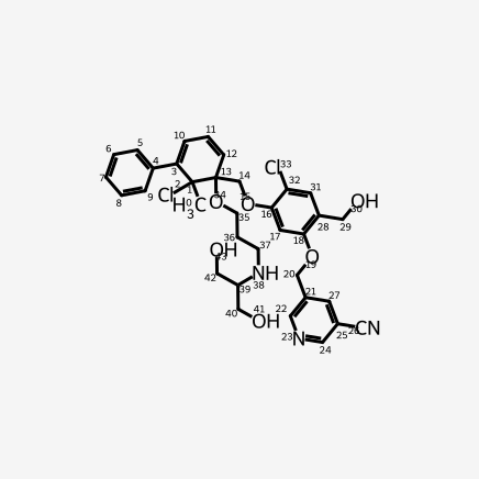 CC1(Cl)C(c2ccccc2)=CC=CC1(COc1cc(OCc2cncc(C#N)c2)c(CO)cc1Cl)OCCCNC(CO)CO